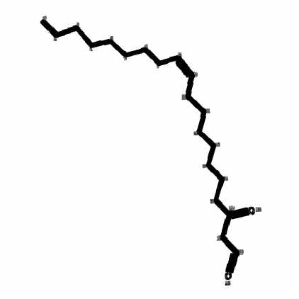 CCCCCCCC/C=C\CCCCCCCC(=O)CC=O